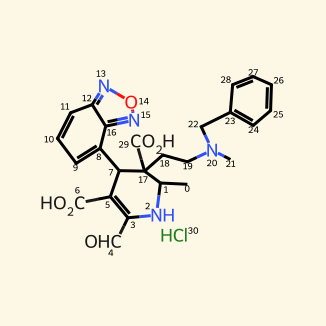 CC1NC(C=O)=C(C(=O)O)C(c2cccc3nonc23)C1(CCN(C)Cc1ccccc1)C(=O)O.Cl